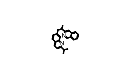 CC(C)c1ccc2ccc(CC(C)c3cc4ccccc4cn3)cc2n1